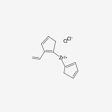 C=CC1=[C]([Zr+2][C]2=CC=CC2)CC=C1.[Cl-].[Cl-]